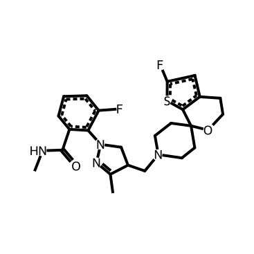 CNC(=O)c1cccc(F)c1N1CC(CN2CCC3(CC2)OCCc2cc(F)sc23)C(C)=N1